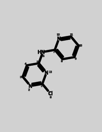 Clc1nccc(Nc2ccccn2)n1